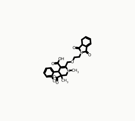 CN1CC(C)(C(=O)O)C(c2ccccc2Cl)C(C(=O)O)=C1COCCN1C(=O)C2=CC=CCC2C1=O